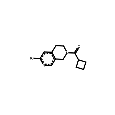 O=C(C1CCC1)N1CCc2cc(O)ncc2C1